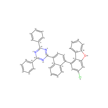 Clc1cc(-c2ccc(-c3nc(-c4ccccc4)nc(-c4ccccc4)n3)c3ccccc23)c2c(c1)oc1ccccc12